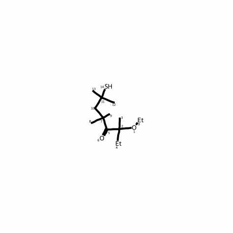 CCOC(C)(CC)C(=O)C(C)(C)CC(C)(C)S